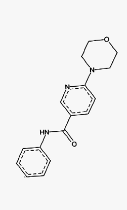 O=C(Nc1cc[c]cc1)c1ccc(N2CCOCC2)nc1